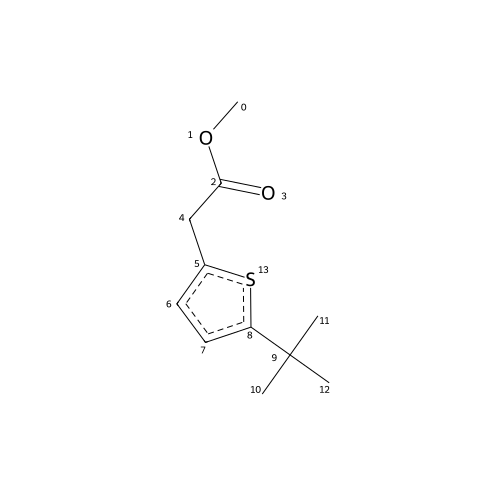 COC(=O)Cc1ccc(C(C)(C)C)s1